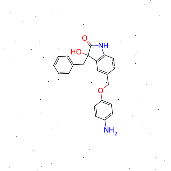 Nc1ccc(OCc2ccc3c(c2)C(O)(Cc2ccccc2)C(=O)N3)cc1